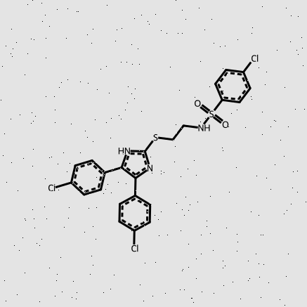 O=S(=O)(NCCSc1nc(-c2ccc(Cl)cc2)c(-c2ccc(Cl)cc2)[nH]1)c1ccc(Cl)cc1